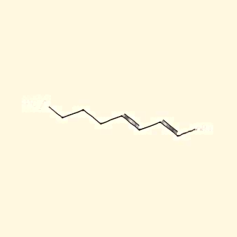 CCCCC=CC=CCCCC(=O)O